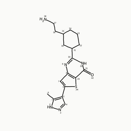 Cc1[nH]ncc1-c1cc2nc(C3CCCC(CCN)C3)[nH]c(=O)c2s1